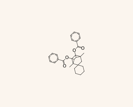 CC12CCC(C)(C(OC(=O)c3ccccc3)C1OC(=O)c1ccccc1)C1(CCCCC1)C2